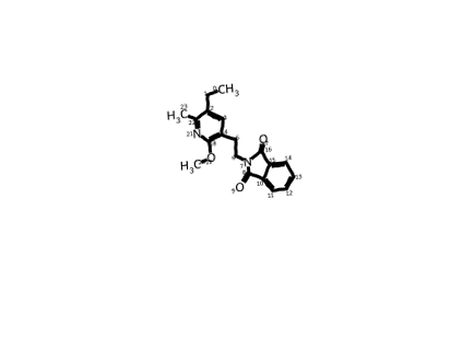 CCc1cc(CCN2C(=O)c3ccccc3C2=O)c(OC)nc1C